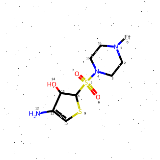 CCN1CCN(S(=O)(=O)C2SC=C(N)C2O)CC1